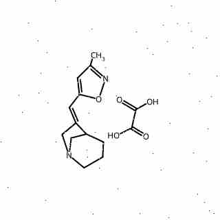 Cc1cc(C=C2CN3CCCC2C3)on1.O=C(O)C(=O)O